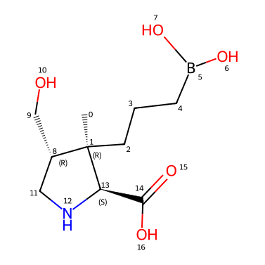 C[C@@]1(CCCB(O)O)[C@@H](CO)CN[C@@H]1C(=O)O